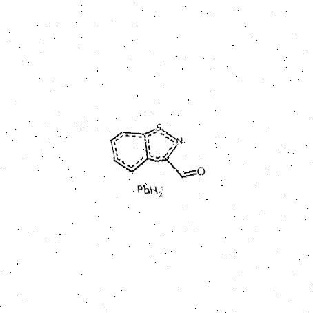 O=Cc1nsc2ccccc12.[PbH2]